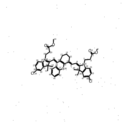 COC(=O)CCN1/C(=C/C=C2\CCCC(/C=C/C3=[N+](CCC(=O)OC)c4ccc(Cl)cc4C3(C)C)=C2Sc2ccccc2)C(C)(C)c2cc(Cl)ccc21